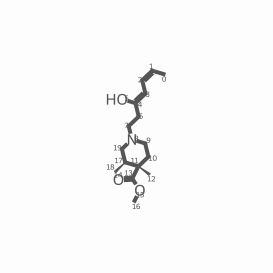 C/C=C\C=C(/O)CCN1CC[C@](C)(C(=O)OC)[C@@H](C)C1